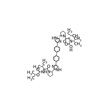 CC(C)OC(=O)N[C@H](C(=O)N1CCCC1c1nc(-c2ccc(-c3ccc(-c4c[nH]c([C@@H]5CCCN5C(=O)[C@H](C(C)C)N(C(=O)O)C(C)C)n4)cc3)cc2)c[nH]1)C(C)C